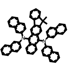 CC1(C)c2ccccc2-c2cc3c(N(c4ccc5ccccc5c4)c4ccc5ccccc5c4)c4ccccc4c(N(c4ccc5ccccc5c4)c4ccc5ccccc5c4)c3cc21